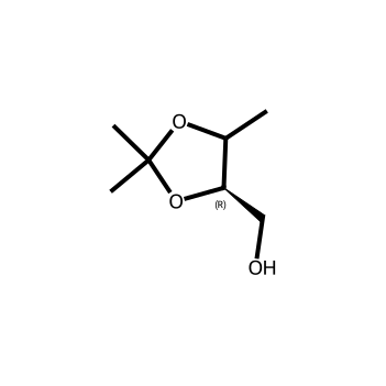 CC1OC(C)(C)O[C@@H]1CO